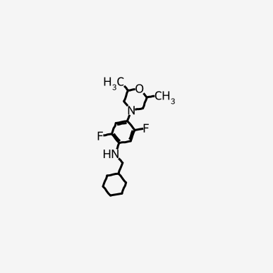 CC1CN(c2cc(F)c(NCC3CCCCC3)cc2F)CC(C)O1